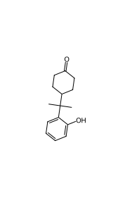 CC(C)(c1ccccc1O)C1CCC(=O)CC1